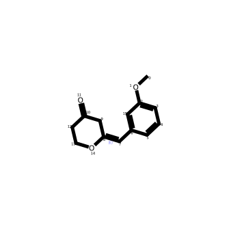 COc1cccc(/C=C2\CC(=O)CCO2)c1